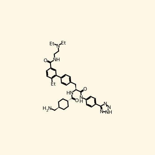 CCc1ccc(C(=O)NCCN(CC)CC)cc1-c1ccc(C[C@H](NC(=O)[C@H]2CC[C@H](CN)CC2)C(=O)Nc2ccc(-c3nn[nH]n3)cc2)cc1